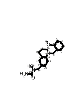 COc1ccccc1CN1CCCc2cc(CN(O)C(N)=O)ccc21